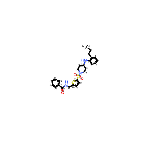 CCCc1ccccc1NC1CCN(S(=O)(=O)c2ccc(CNC(=O)c3ccccc3)s2)CC1